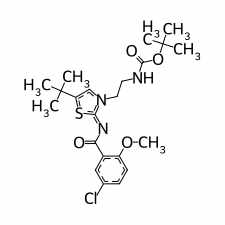 COc1ccc(Cl)cc1C(=O)N=c1sc(C(C)(C)C)cn1CCNC(=O)OC(C)(C)C